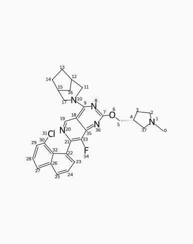 CN1CC[C@@H](COc2nc(N3CC4CCC(C4)C3)c3cnc(-c4cccc5cccc(Cl)c45)c(F)c3n2)C1